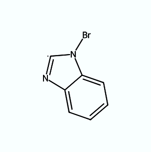 Brn1[c]nc2ccccc21